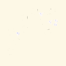 c1ccc(-c2nnc(-c3ccccc3)n2-c2cccc3c2c2ccccc2n3-c2cccc(-c3cccc(-c4cccc(-n5c6ccccc6c6c7oc8ccccc8c7ccc65)c4)c3)c2)cc1